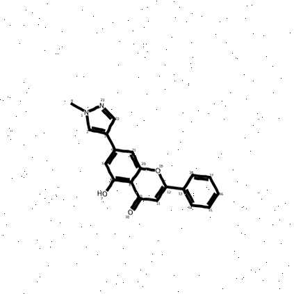 Cn1cc(-c2cc(O)c3c(=O)cc(-c4ccccc4)oc3c2)cn1